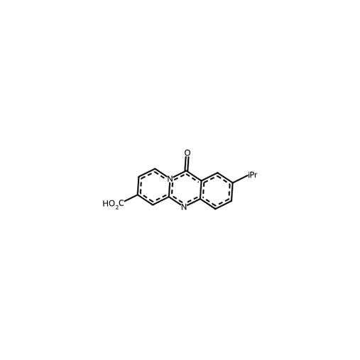 CC(C)c1ccc2nc3cc(C(=O)O)ccn3c(=O)c2c1